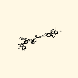 COc1cc(-c2cn(C)c(=O)c3cnccc23)cc(OC)c1CN1CCC2(CCN(C(=O)CCOCCOc3ccc4c(c3)C(=O)N(C3CCC(O)NC3=O)C4=O)C2)C1